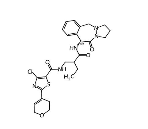 CCC(CNC(=O)c1sc(C2=CCOCC2)nc1Cl)C(=O)N[C@@H]1C(=O)N2CCCN2Cc2ccccc21